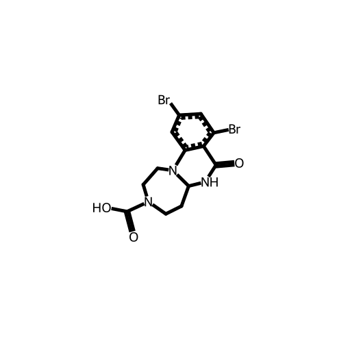 O=C1NC2CCN(C(=O)O)CCN2c2cc(Br)cc(Br)c21